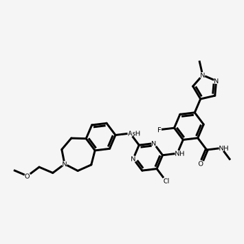 CNC(=O)c1cc(-c2cnn(C)c2)cc(F)c1Nc1nc([AsH]c2ccc3c(c2)CCN(CCOC)CC3)ncc1Cl